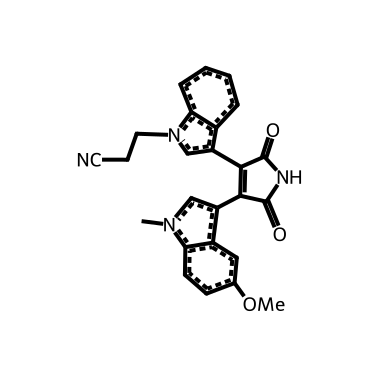 COc1ccc2c(c1)c(C1=C(c3cn(CCC#N)c4ccccc34)C(=O)NC1=O)cn2C